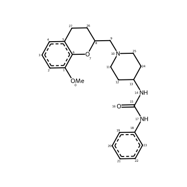 COc1cccc2c1OC(CN1CCC(NC(=O)Nc3ccccc3)CC1)CC2